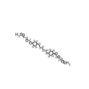 COCCOCOc1ccc(C=CC=CC=Cc2ccc(OCOCCOC)cc2)cc1